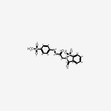 CS(=O)(=O)c1ccc(N=NC(=O)CN2C(=O)c3ccccc3S2(=O)=O)cc1